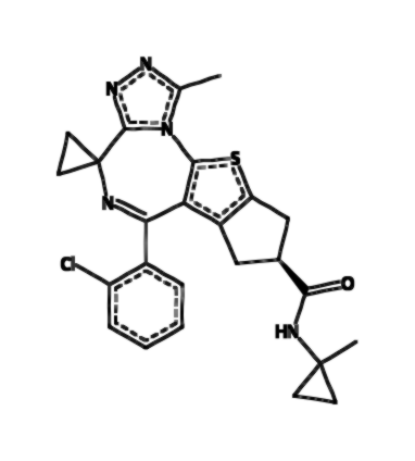 Cc1nnc2n1-c1sc3c(c1C(c1ccccc1Cl)=NC21CC1)C[C@H](C(=O)NC1(C)CC1)C3